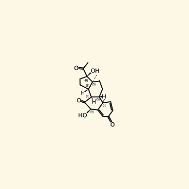 CC(=O)[C@@]1(O)CC[C@H]2[C@@H]3C(=O)[C@H](O)C4=CC(=O)C=C[C@]4(C)[C@H]3CC[C@@]21C